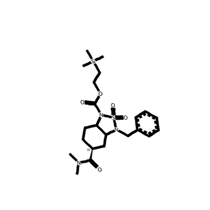 CN(C)C(=O)[C@H]1CCC2C(C1)N(Cc1ccccc1)S(=O)(=O)N2C(=O)OCC[Si](C)(C)C